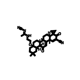 C/C(=N\C#N)NCCO[C@]12CCC(C)(C)C[C@H]1[C@H]1C(=O)C=C3[C@@]4(C)C=C(C#N)C(=O)C5(CC5)[C@@H]4CC[C@@]3(C)[C@]1(C)CC2